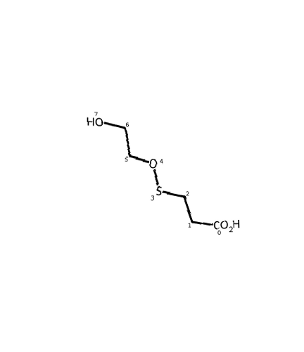 O=C(O)CCSOCCO